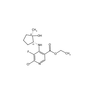 CCOC(=O)c1cnc(Cl)c(F)c1N[C@@H]1CCC[C@@]1(C)O